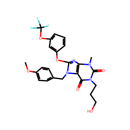 COc1ccc(Cn2c(Oc3cccc(OC(F)(F)F)c3)nc3c2c(=O)n(CCCO)c(=O)n3C)cc1